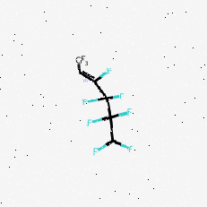 F/C(=C\C(F)(F)F)C(F)(F)C(F)(F)C(F)F